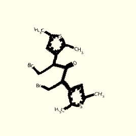 Cc1cc(C(CBr)C(=O)C(CBr)c2cc(C)sc2C)c(C)s1